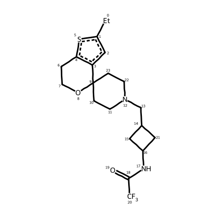 CCc1cc2c(s1)CCOC21CCN(CC2CC(NC(=O)C(F)(F)F)C2)CC1